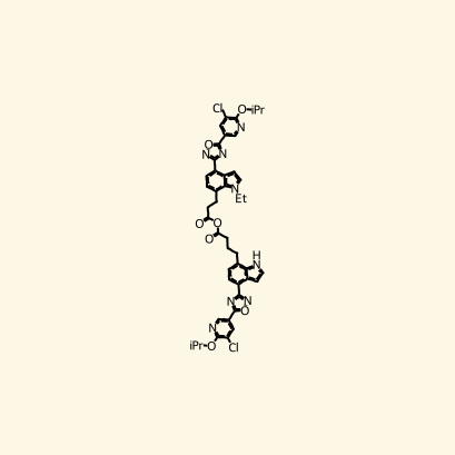 CCn1ccc2c(-c3noc(-c4cnc(OC(C)C)c(Cl)c4)n3)ccc(CCC(=O)OC(=O)CCCc3ccc(-c4noc(-c5cnc(OC(C)C)c(Cl)c5)n4)c4cc[nH]c34)c21